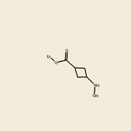 CCOC(=O)C1CC(NO)C1